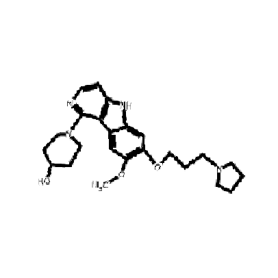 COc1cc2c(cc1OCCCN1CCCC1)[nH]c1ccnc(N3CCC(O)CC3)c12